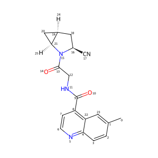 Cc1ccc2nccc(C(=O)NCC(=O)N3[C@H](C#N)C[C@@H]4C[C@@H]43)c2c1